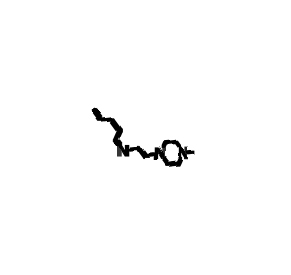 C=C/C=C\C=N/CCN1CCN(C)CC1